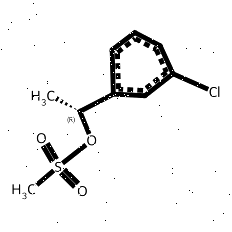 C[C@@H](OS(C)(=O)=O)c1cccc(Cl)c1